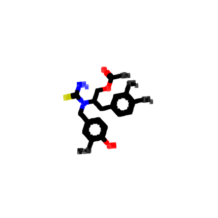 COc1cc(CN(C(N)=S)C(COC(=O)C(C)(C)C)Cc2ccc(C)c(C)c2)ccc1O